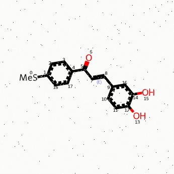 CSc1ccc(C(=O)/C=C/c2ccc(O)c(O)c2)cc1